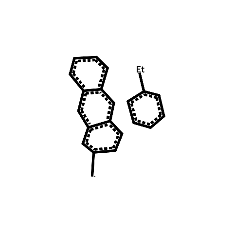 [CH2]Cc1ccccc1.[CH2]c1ccc2cc3ccccc3cc2c1